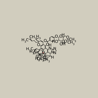 COC(=O)/C(C)=C\CC12OC(C)(C)[C@H]3C[C@H](C1=O)C1C4=C(Nc5ncnn51)c1c(OC(=O)c5ccc(O[C@@H]6O[C@@H]7COC(C)(C)O[C@H]7[C@H](O)[C@H]6O)cc5)c5c(c(CC=C(C)C)c1OC432)OC(C)(CCC=C(C)C)C=C5